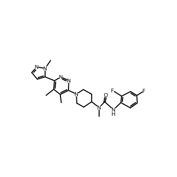 Cc1c(-c2ccnn2C)nnc(N2CCC(N(C)C(=O)Nc3ccc(F)cc3F)CC2)c1C